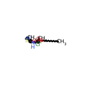 CCCCCCCCCCCCCCOc1ccc(CC(=O)Nc2ccc(-c3scc[n+]3C)cc2)cc1OC.[Cl-]